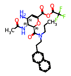 CCCN(CCc1ccc2ccccc2c1)C(=O)[C@@H]1OC(C(=O)OC(=O)C(F)(F)F)=C[C@H](N)[C@H]1NC(C)=O